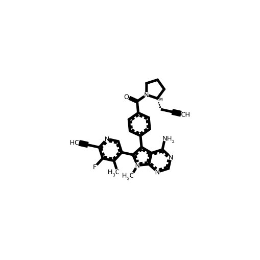 C#CC[C@H]1CCCN1C(=O)c1ccc(-c2c(-c3cnc(C#C)c(F)c3C)n(C)c3ncnc(N)c23)cc1